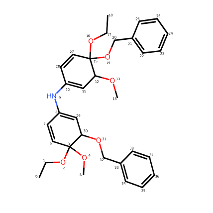 CCOC1(OC)C=CC(NC2=CC(OC)C(OCC)(OCc3ccccc3)C=C2)=CC1OCc1ccccc1